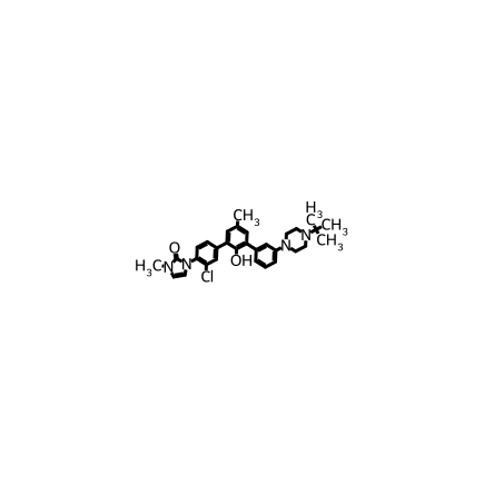 Cc1cc(-c2cccc(N3CCN(C(C)(C)C)CC3)c2)c(O)c(-c2ccc(-n3ccn(C)c3=O)c(Cl)c2)c1